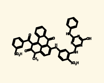 Cn1c(=O)c(C(=O)c2cccc(S(=O)(=O)O)c2)c2c3c(c(Nc4ccc(S(=O)(=O)O)c(Nc5nc(O)nc(Nc6ccccc6)n5)c4)ccc31)C(=O)c1ccccc1-2